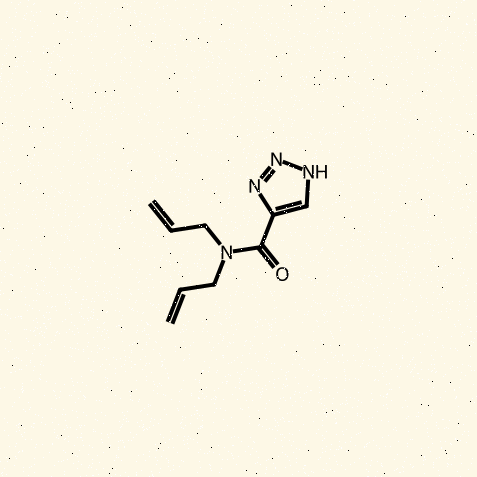 C=CCN(CC=C)C(=O)c1c[nH]nn1